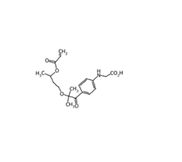 C=CC(=O)OC(C)CCOC(C)(C)C(=O)c1ccc(NCC(=O)O)cc1